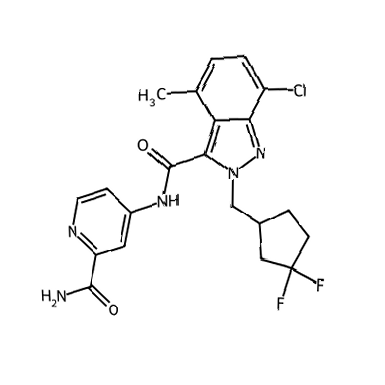 Cc1ccc(Cl)c2nn(CC3CCC(F)(F)C3)c(C(=O)Nc3ccnc(C(N)=O)c3)c12